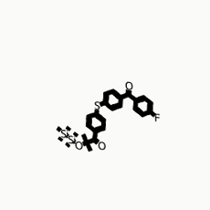 CC(C)(O[Si](C)(C)[Si](C)(C)C)C(=O)c1ccc(Sc2ccc(C(=O)c3ccc(F)cc3)cc2)cc1